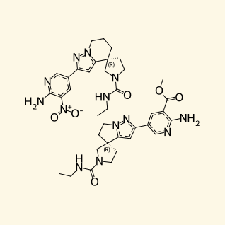 CCNC(=O)N1CC[C@@]2(CCn3nc(-c4cnc(N)c(C(=O)OC)c4)cc32)C1.CCNC(=O)N1CC[C@]2(CCCn3nc(-c4cnc(N)c([N+](=O)[O-])c4)cc32)C1